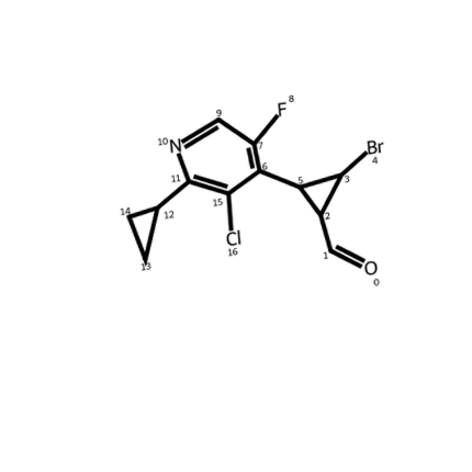 O=CC1C(Br)C1c1c(F)cnc(C2CC2)c1Cl